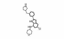 Clc1cc(NC2CCOCC2)c2[nH]c(-c3cccc(CC4CCNC4)c3)cc2c1